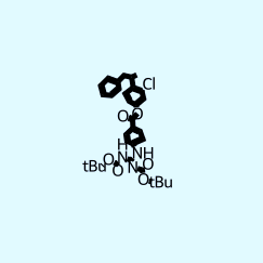 CC(Cc1ccccc1)c1ccc(OC(=O)c2ccc(N/C(=N\C(=O)OC(C)(C)C)NC(=O)OC(C)(C)C)cc2)cc1Cl